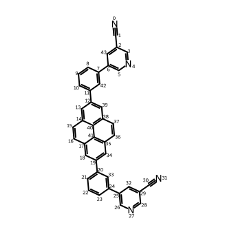 N#Cc1cncc(-c2cccc(-c3cc4ccc5cc(-c6cccc(-c7cncc(C#N)c7)c6)cc6ccc(c3)c4c56)c2)c1